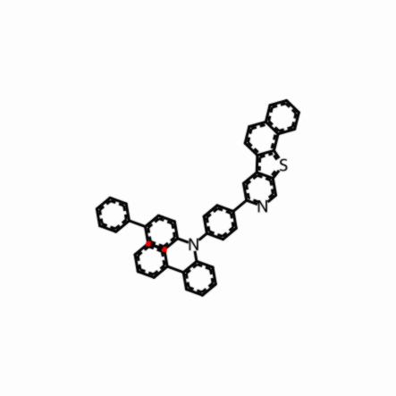 c1ccc(-c2ccc(N(c3ccc(-c4cc5c(cn4)sc4c6ccccc6ccc54)cc3)c3ccccc3-c3ccccc3)cc2)cc1